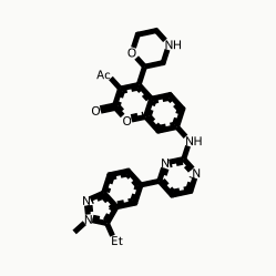 CCc1c2cc(-c3ccnc(Nc4ccc5c(C6CNCCO6)c(C(C)=O)c(=O)oc5c4)n3)ccc2nn1C